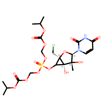 CC(C)OC(=O)OCOP(=O)(OCOC(=O)OC(C)C)OC1[C@]2(O)[C@@](C)(O)[C@H](n3ccc(=O)[nH]c3=O)O[C@]12CCl